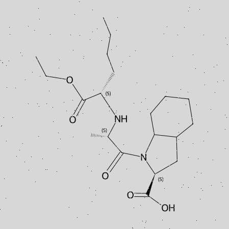 CCCC[C@H](N[C@@H](C)C(=O)N1C2CCCCC2C[C@H]1C(=O)O)C(=O)OCC